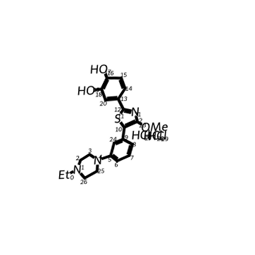 CCN1CCN(c2cccc(-c3sc(-c4ccc(O)c(O)c4)nc3OC)c2)CC1.Cl.Cl.Cl